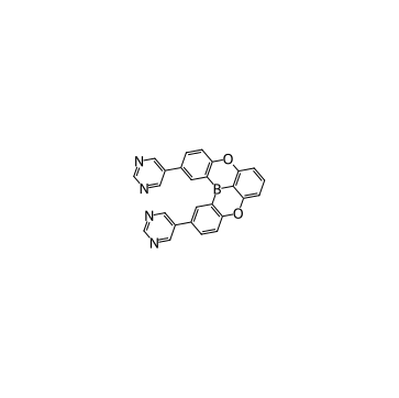 c1cc2c3c(c1)Oc1ccc(-c4cncnc4)cc1B3c1cc(-c3cncnc3)ccc1O2